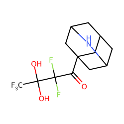 O=C(C12CC3CC(C1)NC(C3)C2)C(F)(F)C(O)(O)C(F)(F)F